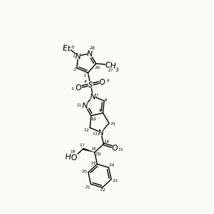 CCn1cc(S(=O)(=O)n2cc3c(n2)CN(C(=O)[C@H](CO)c2ccccc2)C3)c(C)n1